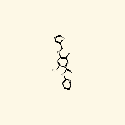 Nc1nc(NCc2ccco2)c(Cl)nc1C(=O)Nc1ccccn1